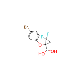 OC(O)C1(Oc2ccc(Br)cc2)CC1(F)F